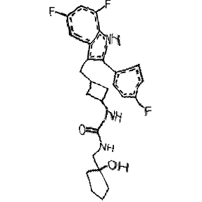 O=C(NCC1(O)CCCC1)NC1CC(Cc2c(-c3ccc(F)cc3)[nH]c3c(F)cc(F)cc23)C1